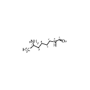 CC(N)CCCCNC=O